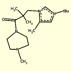 Cc1cn(C(C)(C)C)c[n+]1CC(C)(C)C(=O)N1CCN(C)CC1